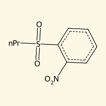 CCCS(=O)(=O)c1ccccc1[N+](=O)[O-]